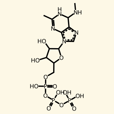 CNC1NC(C)=Nc2c1ncn2C1OC(COP(=O)(O)OP(=O)(O)OP(=O)(O)O)C(O)C1O